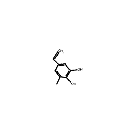 C=Cc1cc(O)c(O)c(I)c1